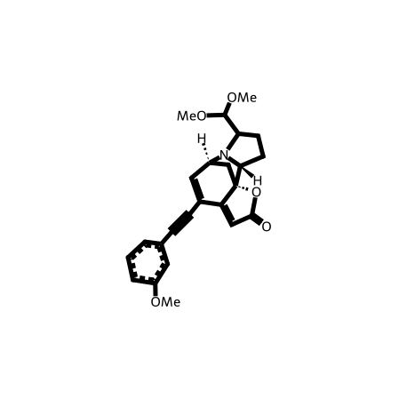 COc1cccc(C#CC2=C[C@@H]3C[C@@]4(OC(=O)C=C24)[C@H]2CCC(C(OC)OC)N32)c1